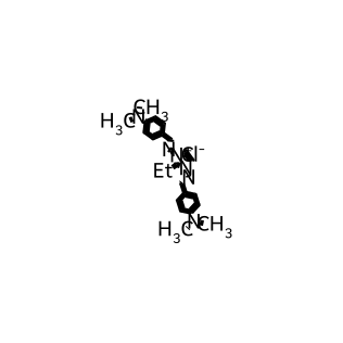 CCc1n(N=Cc2ccc(N(C)C)cc2)cc[n+]1N=Cc1ccc(N(C)C)cc1.[Cl-]